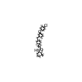 O=C(Nc1cncc(F)c1)N1CC2(CCN(Cc3cccc(Oc4ccc(Cl)cc4)c3)CC2)C1